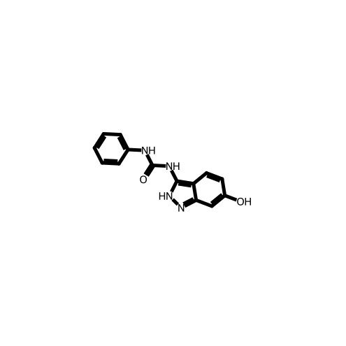 O=C(Nc1ccccc1)Nc1[nH]nc2cc(O)ccc12